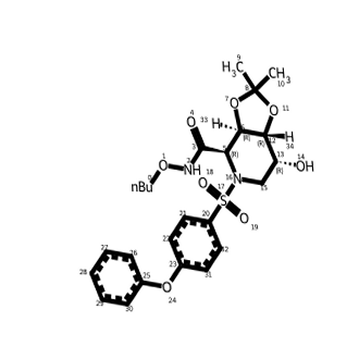 CCCCONC(=O)[C@H]1[C@H]2OC(C)(C)O[C@@H]2[C@H](O)CN1S(=O)(=O)c1ccc(Oc2ccccc2)cc1